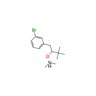 C[SiH](C)OC(Cc1cccc(Br)c1)C(C)(C)C